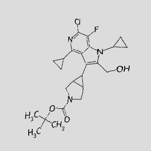 CC(C)(C)OC(=O)N1CC2C(C1)C2c1c(CO)n(C2CC2)c2c(F)c(Cl)nc(C3CC3)c12